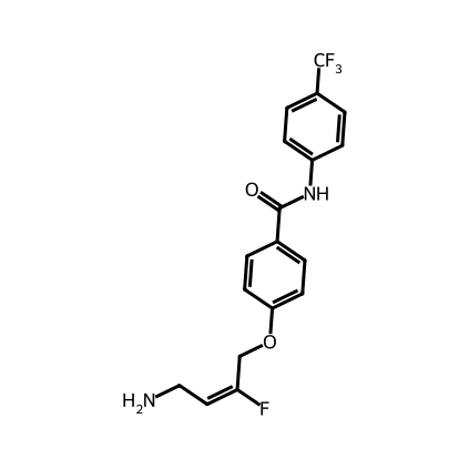 NC/C=C(/F)COc1ccc(C(=O)Nc2ccc(C(F)(F)F)cc2)cc1